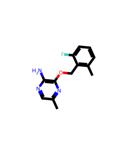 Cc1cnc(N)c(OCc2c(C)cccc2F)n1